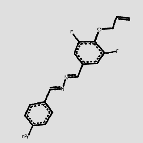 C=CCOc1c(F)cc(C=NN=Cc2ccc(CCC)cc2)cc1F